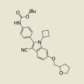 CCC(C)OC(=O)Nc1ccc(-c2c(C#N)c3ccc(OCC4CCCO4)cc3n2C2CCC2)cc1